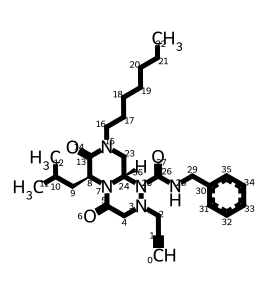 C#CCN1CC(=O)N2[C@@H](CC(C)C)C(=O)N(CCCCCCC)C[C@@H]2N1C(=O)NCc1ccccc1